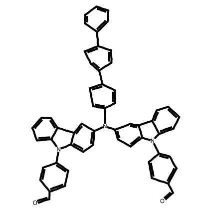 O=Cc1ccc(-n2c3ccccc3c3cc(N(c4ccc(-c5ccc(-c6ccccc6)cc5)cc4)c4ccc5c(c4)c4ccccc4n5-c4ccc(C=O)cc4)ccc32)cc1